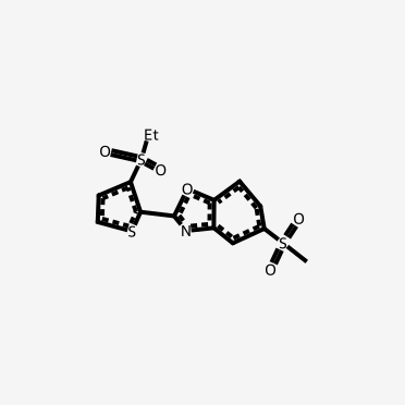 CCS(=O)(=O)c1ccsc1-c1nc2cc(S(C)(=O)=O)ccc2o1